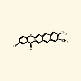 Cc1cc2cc3cc4sc5ccc(Cl)cc5c(=O)c4cc3cc2cc1C